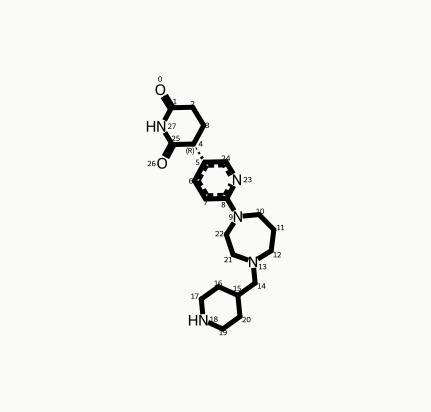 O=C1CC[C@H](c2ccc(N3CCCN(CC4CCNCC4)CC3)nc2)C(=O)N1